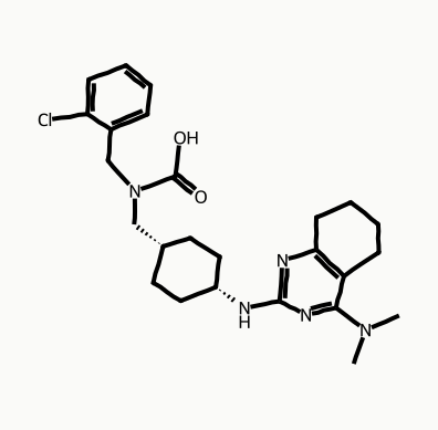 CN(C)c1nc(N[C@H]2CC[C@@H](CN(Cc3ccccc3Cl)C(=O)O)CC2)nc2c1CCCC2